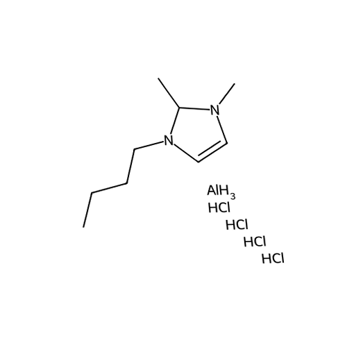 CCCCN1C=CN(C)C1C.Cl.Cl.Cl.Cl.[AlH3]